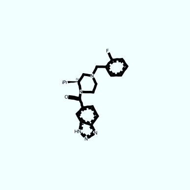 CC(C)[C@H]1CN(Cc2ccccc2F)CCN1C(=O)c1ccc2nn[nH]c2c1